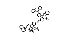 C=CC1=C(/C=C\CN2CCCc3ccccc32)c2ccc(/C=C/c3ccc(CC)c(C4(c5cccc(N6C7=C(CCC=C7)Cc7ccccc76)c5)Cc5ccccc5C4)c3)cc2C1(C)C